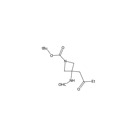 CCC(=O)CC1(NC=O)CN(C(=O)OC(C)(C)C)C1